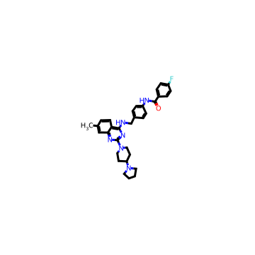 Cc1ccc2c(NCc3ccc(NC(=O)c4ccc(F)cc4)cc3)nc(N3CCC(N4CCCC4)CC3)nc2c1